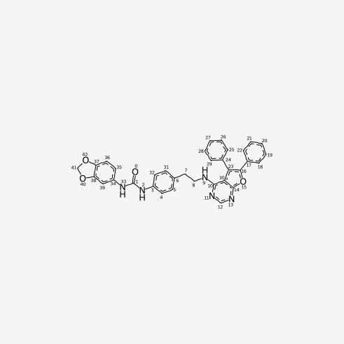 O=C(Nc1ccc(CCNc2ncnc3oc(-c4ccccc4)c(-c4ccccc4)c23)cc1)Nc1ccc2c(c1)OCO2